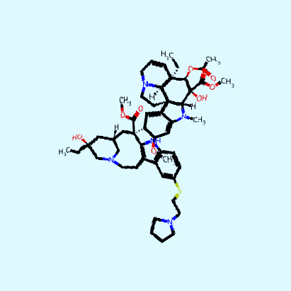 CC[C@]1(O)C[C@H]2CN(CCc3c([nH]c4ccc(SCCN5CCCC5)cc34)[C@@](C(=O)OC)(C3C=C4C(=CC3OC)N(C)[C@H]3[C@@](O)(C(=O)OC)[C@H](OC(C)=O)[C@]5(CC)C=CCN6CC[C@]43[C@@H]65)C2)C1